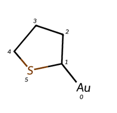 [Au][CH]1CCCS1